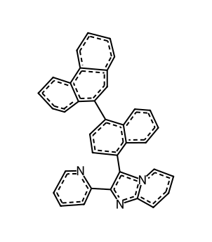 c1ccc(-c2nc3ccccn3c2-c2ccc(-c3cc4ccccc4c4ccccc34)c3ccccc23)nc1